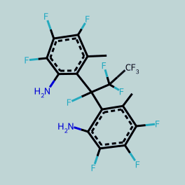 Cc1c(F)c(F)c(F)c(N)c1C(F)(c1c(C)c(F)c(F)c(F)c1N)C(F)(F)C(F)(F)F